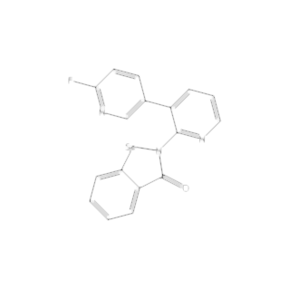 O=c1c2ccccc2[se]n1-c1ncccc1-c1ccc(F)nc1